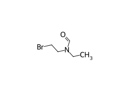 CCN(C=O)CCBr